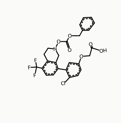 O=C(O)COc1ccc(Cl)c(-c2ccc(C(F)(F)F)c3c2CN(OC(=O)OCc2ccccc2)CC3)c1